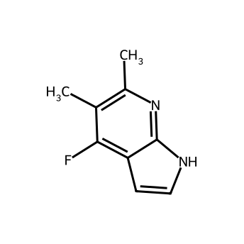 Cc1nc2[nH]ccc2c(F)c1C